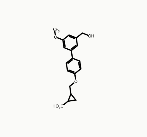 O=C(O)C1CC1COc1ccc(-c2cc(CO)cc(OC(F)(F)F)c2)cc1